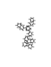 c1ccc(C2(c3ccccc3)c3ccccc3-c3c(-c4cccc(-c5nc(-c6ccc7ccccc7c6)nc(-c6ccc7ccccc7c6)n5)c4)cccc32)cc1